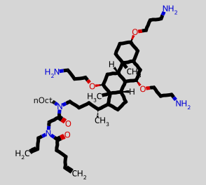 C=CCCC(=O)N(CC=C)CC(=O)N(CCCCCCCC)CCC[C@@H](C)C1CC[C@H]2C3[C@H](OCCCN)CC4C[C@H](OCCCN)CCC4(C)[C@H]3C[C@H](OCCCN)C12C